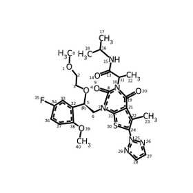 COCCO[C@@H](Cn1c(=O)n(C(C)C(=O)NC(C)C)c(=O)c2c(C)c(-n3nccn3)sc21)c1cc(F)ccc1OC